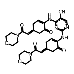 N#Cc1cnc(NC2=CCC(=CC(=O)N3CCOCC3)CC2=O)nc1NC1=CCC(=CC(=O)N2CCOCC2)CC1=O